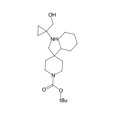 CC(C)(C)OC(=O)N1CCC(CNC2(CO)CC2)(C2CCCCC2)CC1